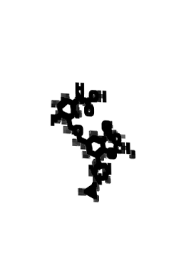 COc1c(-c2ncn(C3CC3)n2)cc(COCc2nc(NC(=O)O)ccc2F)cc1[N+](=O)[O-]